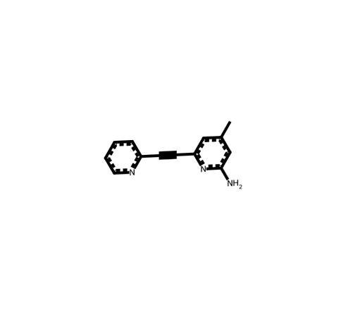 Cc1cc(N)nc(C#Cc2ccccn2)c1